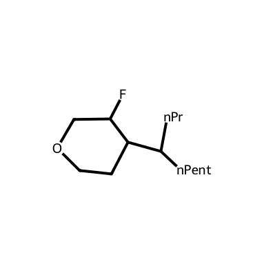 CCCCCC(CCC)C1CCOCC1F